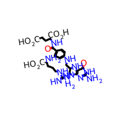 N=C(N)NCCC[C@H](N)C(=O)O.Nc1nc2c(c(=O)[nH]1)NC(CNc1ccc(C(=O)N[C@@H](CCC(=O)O)C(=O)O)cc1)CN2